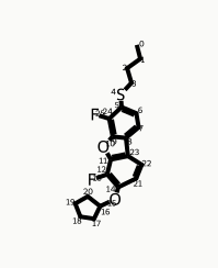 CCCCSc1ccc2c(oc3c(F)c(OC4CCCC4)ccc32)c1F